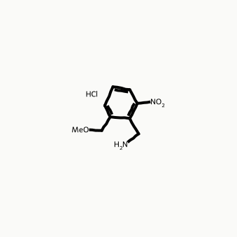 COCc1cccc([N+](=O)[O-])c1CN.Cl